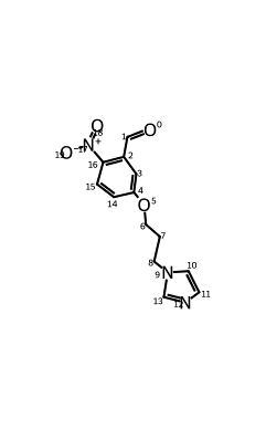 O=Cc1cc(OCCCn2ccnc2)ccc1[N+](=O)[O-]